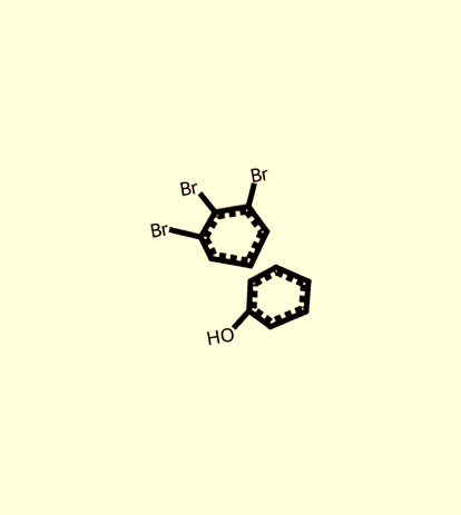 Brc1cccc(Br)c1Br.Oc1ccccc1